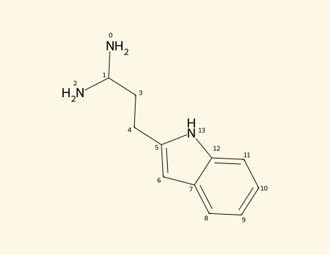 NC(N)CCc1cc2ccccc2[nH]1